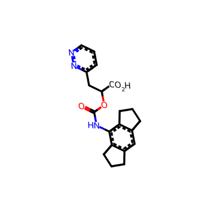 O=C(Nc1c2c(cc3c1CCC3)CCC2)OC(Cc1cccnn1)C(=O)O